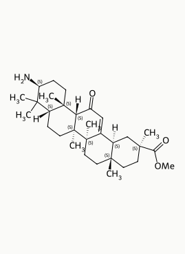 COC(=O)[C@@]1(C)CC[C@]2(C)CC[C@]3(C)C(=CC(=O)[C@H]4[C@@]5(C)CC[C@H](N)C(C)(C)[C@H]5CC[C@@]43C)[C@H]2C1